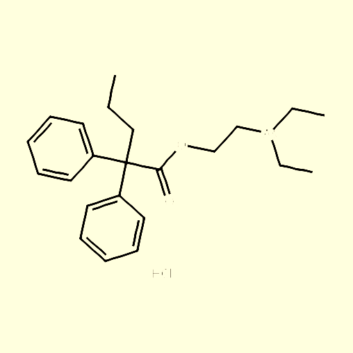 CCCC(C(=O)OCC[As](CC)CC)(c1ccccc1)c1ccccc1.Cl